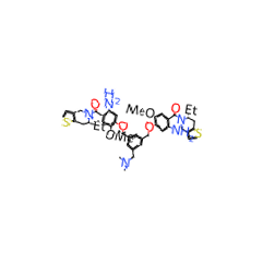 CC[C@@H]1Cc2sccc2CN1C(=O)c1cc(OC)c(OCc2cc(COc3cc(N)c(C(=O)N4Cc5ccsc5C[C@@H]4CC)cc3OC)cc(CN(C)C)c2)cc1N